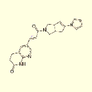 O=C1CCc2cc(/C=C/C(=O)N3CC4C=C(n5cccc5)CC4C3)cnc2N1